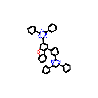 c1ccc(-c2cc(-c3ccccc3)nc(-c3cccc(-c4cc(-c5nc(-c6ccccc6)nc(-c6ccccc6)n5)cc5oc6ccccc6c45)c3)n2)cc1